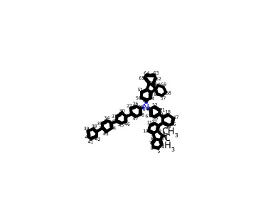 CC1(C)c2ccccc2-c2cccc(-c3ccccc3-c3ccc(N(c4ccc(-c5ccc(-c6ccc(-c7ccccc7)cc6)cc5)cc4)c4ccc5c(c4)C4(CCCCC4)c4ccccc4-5)cc3)c21